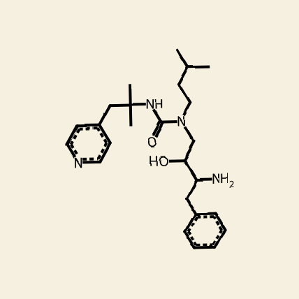 CC(C)CCN(CC(O)C(N)Cc1ccccc1)C(=O)NC(C)(C)Cc1ccncc1